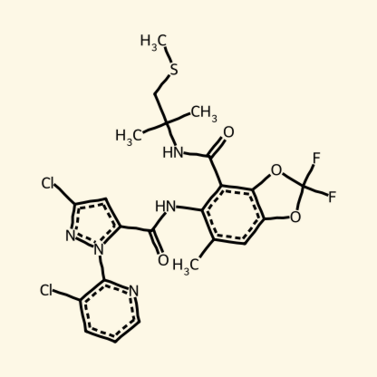 CSCC(C)(C)NC(=O)c1c(NC(=O)c2cc(Cl)nn2-c2ncccc2Cl)c(C)cc2c1OC(F)(F)O2